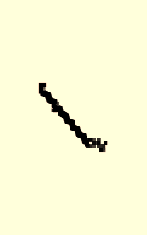 [CH2]CCCCCCCCCCSCCCCF